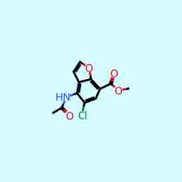 COC(=O)c1cc(Cl)c(NC(C)=O)c2ccoc12